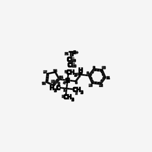 CC(C)(C)[Si](C)(CPc1ccccc1)C1=CC=CC1.[Cl-].[Cl-].[Ti+2]